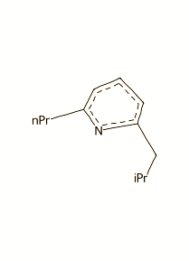 CCCc1cccc(CC(C)C)n1